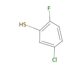 Fc1ccc(Cl)cc1S